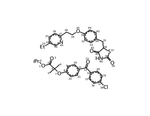 CC(C)OC(=O)C(C)(C)Oc1ccc(C(=O)c2ccc(Cl)cc2)cc1.CCc1ccc(CCOc2ccc(CC3SC(=O)NC3=O)cc2)nc1